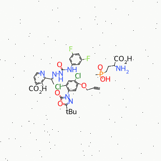 C#CCOc1cc(-n2nc(C(C)(C)C)oc2=O)c(Cl)cc1Cl.C/C(=N\NC(=O)Nc1cc(F)cc(F)c1)c1ncccc1C(=O)O.CP(=O)(O)CCC(N)C(=O)O